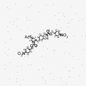 CC(=O)S[C@H]1C[C@@H](Cc2ccc(CNC(=O)OCc3ccc([N+](=O)[O-])cc3)cc2)N(C(=O)OCc2ccc([N+](=O)[O-])cc2)C1